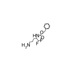 NCCCC(NC(=O)OCc1ccccc1)C(F)F